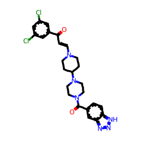 O=C(/C=C/N1CCC(N2CCN(C(=O)c3ccc4[nH]nnc4c3)CC2)CC1)c1cc(Cl)cc(Cl)c1